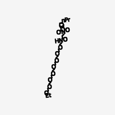 CCCC1=CC2CC1C1C(=O)N(CCC(=O)NCCOCCOCCOCCOCCOCCOCCOCCOCC)C(=O)C21